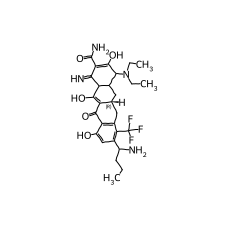 CCCC(N)c1cc(O)c2c(c1C(F)(F)F)C[C@H]1CC3C(C(=N)C(C(N)=O)=C(O)C3N(CC)CC)C(O)=C1C2=O